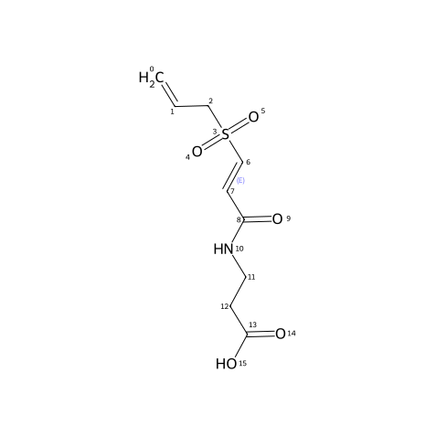 C=CCS(=O)(=O)/C=C/C(=O)NCCC(=O)O